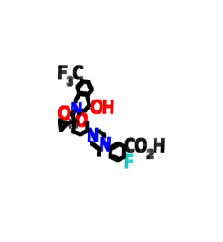 CC1CN(C2CC[C@@](C(=O)N3Cc4cc(C(F)(F)F)ccc4C(O)C3)(C3CC3)OC2)CCN1c1ccc(F)c(C(=O)O)c1